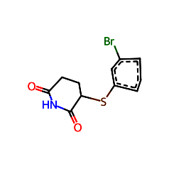 O=C1CCC(Sc2cccc(Br)c2)C(=O)N1